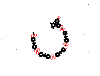 COc1ccc(C2(c3ccc(OC(=O)Oc4ccc(C(C)(C)c5ccc(OC(=O)Oc6ccc(C(C)(C)c7ccc(OC(=O)Oc8ccc(C(C)(C)c9ccc(OC(=O)Oc%10ccc(C(C)(C)c%11ccc(OC(C)=O)cc%11)cc%10)cc9)cc8)cc7)cc6)cc5)cc4)cc3)CC(C)CC(C)(C)C2)cc1